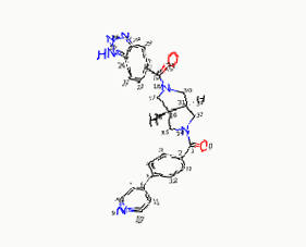 O=C(c1ccc(-c2ccncc2)cc1)N1C[C@@H]2CN(C(=O)c3ccc4[nH]nnc4c3)C[C@H]2C1